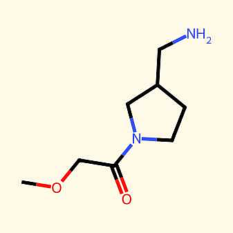 COCC(=O)N1CCC(CN)C1